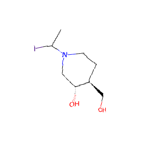 CC(I)N1CC[C@@H](CO)[C@H](O)C1